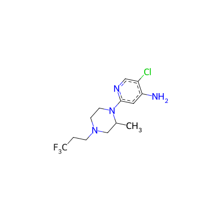 CC1CN(CCC(F)(F)F)CCN1c1cc(N)c(Cl)cn1